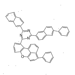 c1ccc(-c2ccc3cc(-c4nc(-c5ccc6ccccc6c5)nc(-c5cccc6c5-c5cccc7c(-c8ccccc8)ccc(c57)O6)n4)ccc3c2)cc1